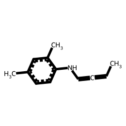 CC=C=CNc1ccc(C)cc1C